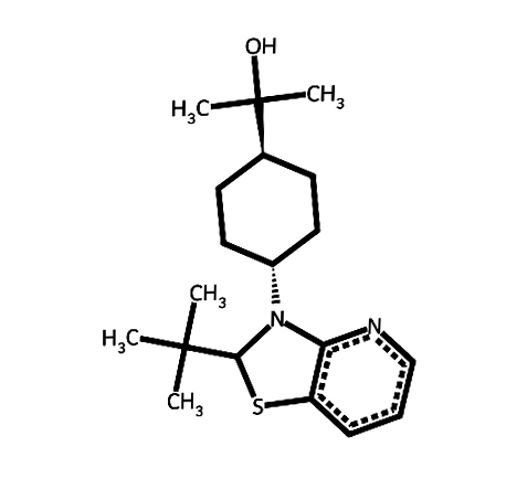 CC(C)(C)C1Sc2cccnc2N1[C@H]1CC[C@H](C(C)(C)O)CC1